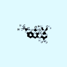 CCN(CC)c1ncc([N+](=O)[O-])c(NC(Cc2ccc(OC(=O)N(C)C)cc2)C(=O)OC(C)(C)C)n1